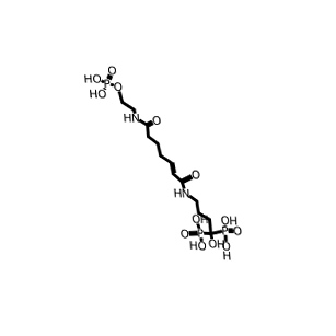 O=C(/C=C/CCCC(=O)NCCOP(=O)(O)O)NCCCC(O)(P(=O)(O)O)P(=O)(O)O